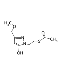 COCc1cc(O)n(CCSC(C)=O)n1